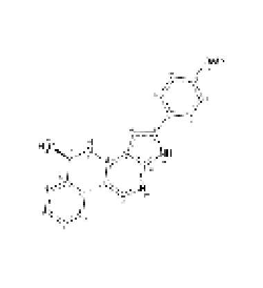 COc1ccc(-c2cc3c(N[C@H](C)c4ccccc4)ncnc3[nH]2)cc1